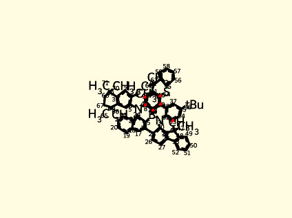 Cc1cc2c(cc1N1c3cc4c(cc3B3c5c(cc6ccccc6c51)-c1ccc5c(c1N3c1ccc(C(C)(C)C)cc1-c1ccccc1)C(C)(C)c1ccccc1-5)Sc1ccccc1C4(C)C)C(C)(C)CCC2(C)C